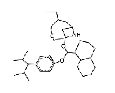 CCC1CCCC2(OC(Oc3ccc(C(C(C)C)C(C)C)cc3)C3CCCC4CCCCC43)CC(C1)N2